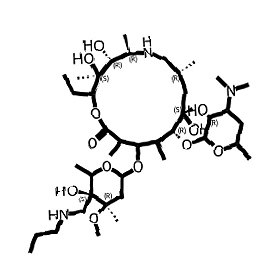 CCCNC[C@]1(O)C(C)OC(OC2C(C)C(=O)OC(CC)[C@@](C)(O)[C@H](O)[C@@H](C)NC[C@H](C)C[C@](C)(O)[C@H](OC3OC(C)CC(N(C)C)[C@H]3O)C2C)C[C@@]1(C)OC